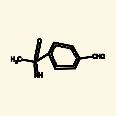 CS(=N)(=O)c1ccc(C=O)cc1